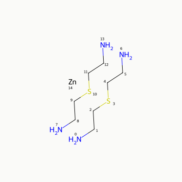 NCCSCCN.NCCSCCN.[Zn]